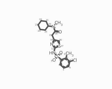 Cc1c(Cl)cccc1S(=O)(=O)Nc1nc(CC(=O)N(C)C2CCCCC2)cs1